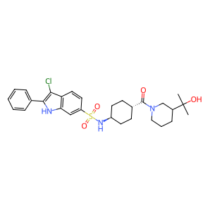 CC(C)(O)C1CCCN(C(=O)[C@H]2CC[C@H](NS(=O)(=O)c3ccc4c(Cl)c(-c5ccccc5)[nH]c4c3)CC2)C1